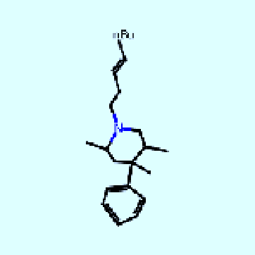 CCCCC=CCCN1CC(C)C(C)(c2ccccc2)CC1C